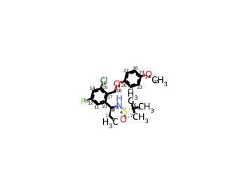 CC[C@H](N[S+]([O-])C(C)(C)C)c1cc(F)cc(Cl)c1COc1ccc(OC)cc1